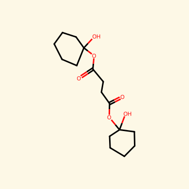 O=C(CCC(=O)OC1(O)CCCCC1)OC1(O)CCCCC1